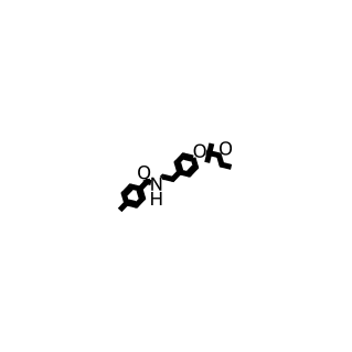 CCC(=O)C(C)(C)Oc1ccc(CCNC(=O)c2ccc(C)cc2)cc1